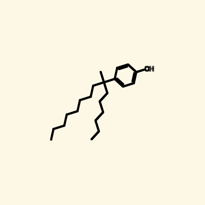 CCCCCCCCC(C)(CCCCCC)c1ccc(O)cc1